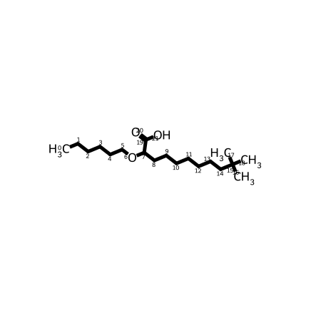 CCCCCCOC(CCCCCCCC(C)(C)C)C(=O)O